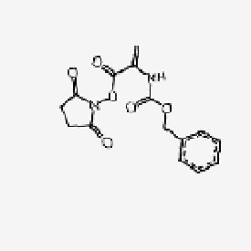 C=C(NC(=O)OCc1ccccc1)C(=O)ON1C(=O)CCC1=O